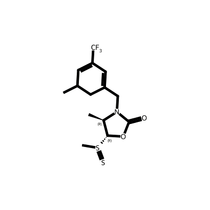 CC1C=C(C(F)(F)F)C=C(CN2C(=O)O[C@H](S(C)=S)[C@H]2C)C1